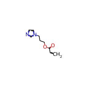 C=CC(=O)OCCCn1ccnc1